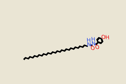 CCCCCCCCCCCCCCCCCCCCCCCCCCCCCNC(=O)NC(=O)c1ccc(O)cc1